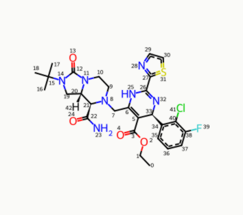 CCOC(=O)C1=C(CN2CCN3C(=O)N(C(C)(C)C)C[C@H]3[C@@H]2C(N)=O)NC(c2nccs2)=N[C@H]1c1cccc(F)c1Cl